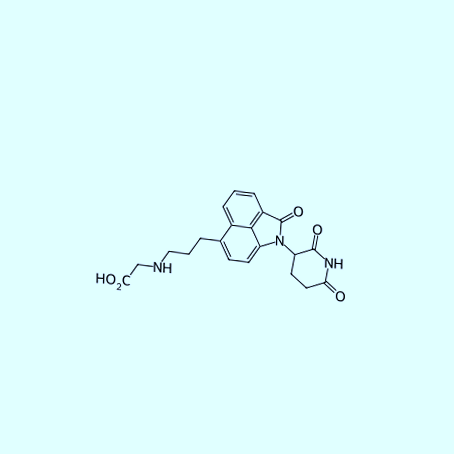 O=C(O)CNCCCc1ccc2c3c(cccc13)C(=O)N2C1CCC(=O)NC1=O